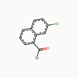 CCC(=O)c1cccc2ccc(Cl)cc12